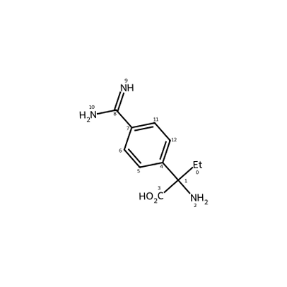 CCC(N)(C(=O)O)c1ccc(C(=N)N)cc1